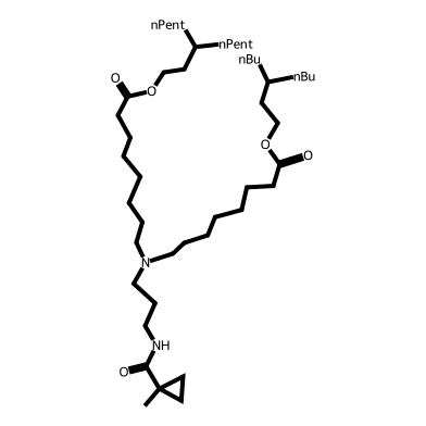 CCCCCC(CCCCC)CCOC(=O)CCCCCCCN(CCCCCCCC(=O)OCCC(CCCC)CCCC)CCCNC(=O)C1(C)CC1